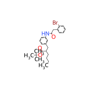 CCCCC(Cc1cccc(NC(=O)Cc2ccccc2Br)c1)C(=O)OC(C)(C)C